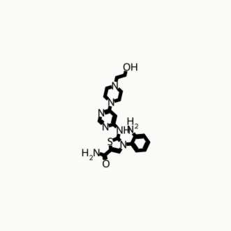 NC(=O)C1=CN(c2ccccc2N)C(Nc2cc(N3CCN(CCO)CC3)ncn2)S1